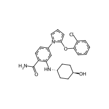 NC(=O)c1ccc(-n2cccc2Oc2ccccc2Cl)cc1N[C@H]1CC[C@H](O)CC1